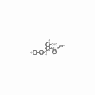 CC(C)CCOc1ccccc1Nc1nc(Nc2ccc(C3CCNCC3)cc2)cc2c1C(C=O)NC=C2